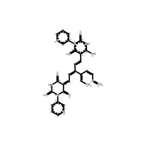 C=N/C=C\C(=C/C)C(C=Cc1c(O)[nH]c(=O)n(-c2cccnc2)c1=O)=C/C=C1\C(=O)NC(=O)N(c2cccnc2)C1=O